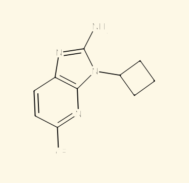 Nc1nc2ccc(C(F)(F)F)nc2n1C1CCC1